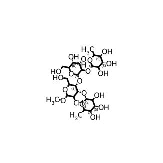 COC1OC(CO)[C@@H](O[C@@H]2OC(CO)[C@H](O)[C@H](O)C2O[C@@H]2OC(C)[C@@H](O)[C@H](O)C2O)[C@H](O[C@@H]2OC(C)[C@@H](O)[C@H](O)C2O)C1C